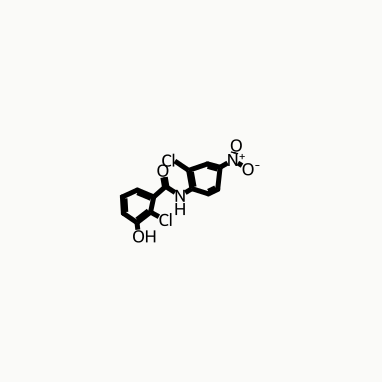 O=C(Nc1ccc([N+](=O)[O-])cc1Cl)c1cccc(O)c1Cl